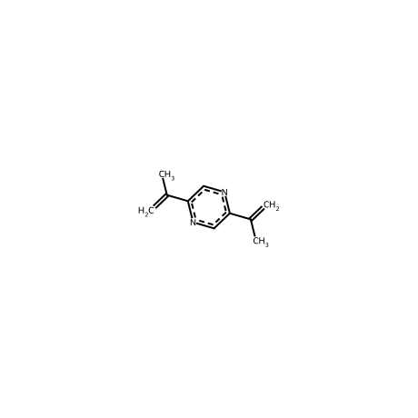 C=C(C)c1cnc(C(=C)C)cn1